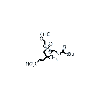 CC(CCC(=O)O)CP(=O)(OCOC=O)OCOC(=O)C(C)(C)C